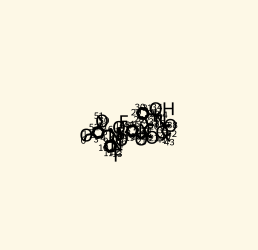 COc1ccc(CN(c2cccc(F)n2)S(=O)(=O)c2cc3oc(=O)n(C(C)c4ccccc4C4(O)CN(C(=O)OC(C)(C)C)C4)c3cc2F)c(OC)c1